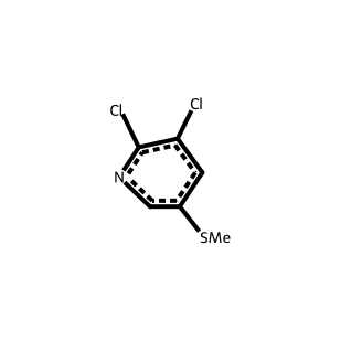 CSc1cnc(Cl)c(Cl)c1